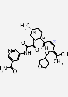 C=C(/C=C\C(OC1CCOC1)=C(C)C)[C@@H]1CC[C@@H](C)CN1C(=O)C(=O)Nc1cncc(C(N)=O)c1